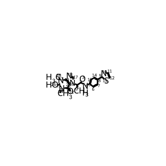 CC(C(=O)Nc1ccc(-c2nccs2)cc1)n1cnc2c1C(=O)N(C)C(O)N2C